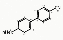 CCCCCCC1C=CC(c2ccc(C#N)cc2)=CC1